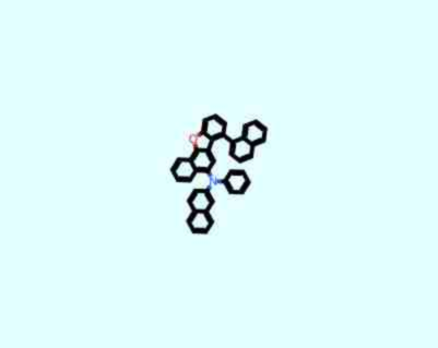 c1ccc(N(c2ccc3ccccc3c2)c2cc3c(oc4cccc(-c5cccc6ccccc56)c43)c3ccccc23)cc1